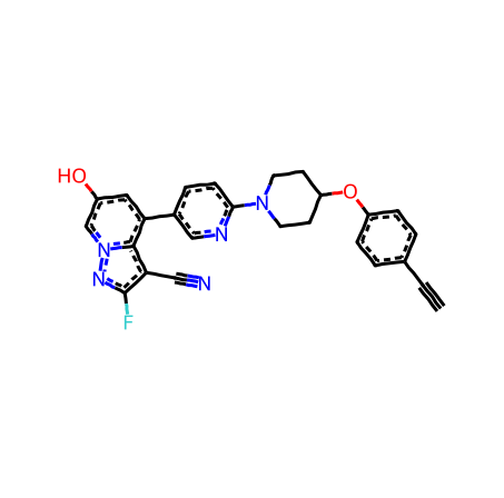 C#Cc1ccc(OC2CCN(c3ccc(-c4cc(O)cn5nc(F)c(C#N)c45)cn3)CC2)cc1